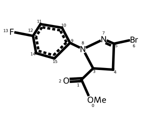 COC(=O)C1CC(Br)=NN1c1ccc(F)cc1